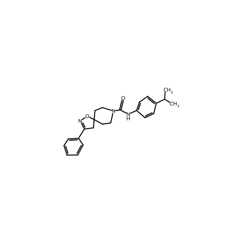 CC(C)c1ccc(NC(=O)N2CCC3(CC2)CC(c2ccccc2)=NO3)cc1